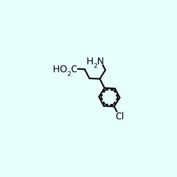 NCC(CCC(=O)O)c1ccc(Cl)cc1